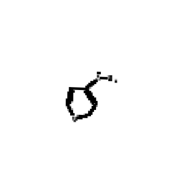 NNC1=CCOC=C1